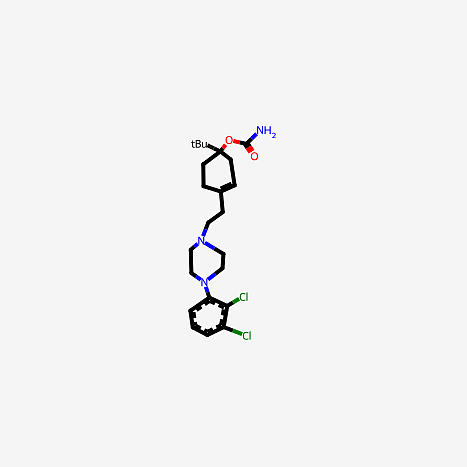 CC(C)(C)C1(OC(N)=O)CC=C(CCN2CCN(c3cccc(Cl)c3Cl)CC2)CC1